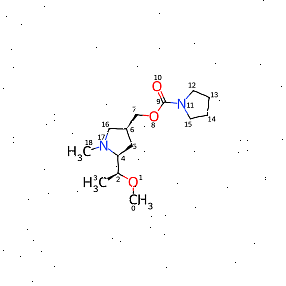 CO[C@@H](C)[C@@H]1C[C@H](COC(=O)N2CCCC2)CN1C